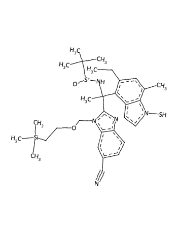 CCc1cc(C)c2c(ccn2S)c1C(C)(N[S+]([O-])C(C)(C)C)c1nc2ccc(C#N)cc2n1COCC[Si](C)(C)C